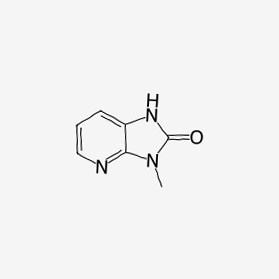 Cn1c(=O)[nH]c2cccnc21